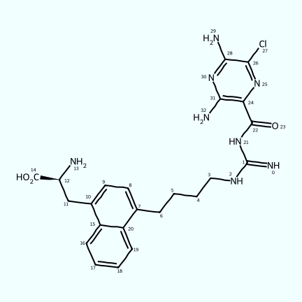 N=C(NCCCCc1ccc(C[C@H](N)C(=O)O)c2ccccc12)NC(=O)c1nc(Cl)c(N)nc1N